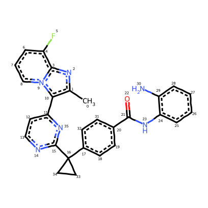 Cc1nc2c(F)cccn2c1-c1ccnc(C2(c3ccc(C(=O)Nc4ccccc4N)cc3)CC2)n1